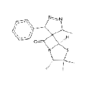 CC1N=NC(c2ccccc2)C12C(=O)N1[C@@H](C)C(C)(C)S[C@@H]12